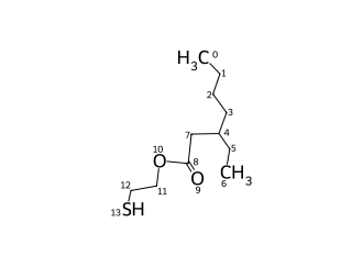 CCCCC(CC)CC(=O)OCCS